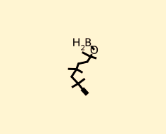 BOC(C)(C)CCC(C)(C)CC(C)(C)C#C